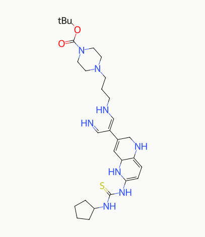 CC(C)(C)OC(=O)N1CCN(CCCN/C=C(\C=N)C2=CC3NC(NC(=S)NC4CCCC4)=CC=C3NC2)CC1